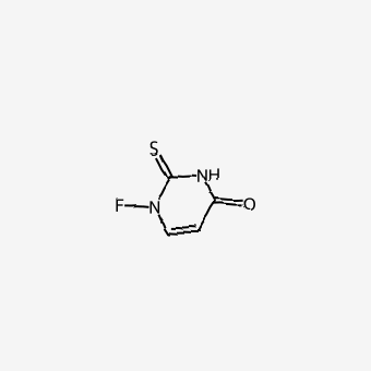 O=c1ccn(F)c(=S)[nH]1